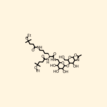 CCOC(C)(C)CCC(=O)NCCCC[C@H](NC(=O)CCC(C)(C)OCC)C(=O)NCC1OC(OC2C(CO)OC3OC(C)=NC3C2O)C(O)C(O)C1O